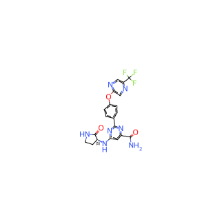 NC(=O)c1cc(N[C@H]2CCNC2=O)nc(-c2ccc(Oc3cnc(C(F)(F)F)cn3)cc2)n1